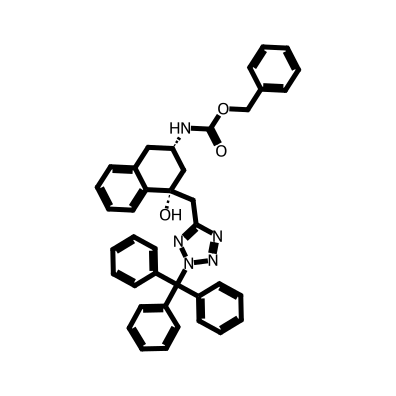 O=C(N[C@H]1Cc2ccccc2[C@](O)(Cc2nnn(C(c3ccccc3)(c3ccccc3)c3ccccc3)n2)C1)OCc1ccccc1